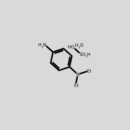 CCN(CC)c1ccc(N)cc1.O.O=S(=O)(O)O